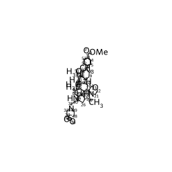 COC(=O)c1ccc(C2=CC[C@]3(C)[C@H]4CC[C@@H]5[C@H]6[C@H](C(C)N7CCOCC7)CC[C@]6(NCCN6CCS(=O)(=O)CC6)CC[C@@]5(C)[C@]4(C)CC[C@H]3C2(C)C)cc1